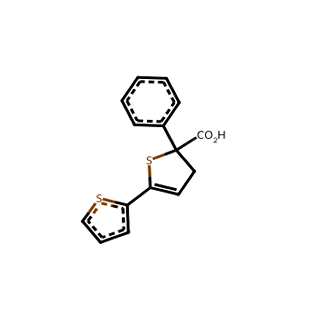 O=C(O)C1(c2ccccc2)CC=C(c2cccs2)S1